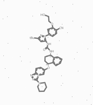 CC(C)(C)c1cc(NC(=O)N[C@H]2CC[C@@H](Oc3ccc4nnc(N5CCCCC5)n4c3)c3ccccc32)n(-c2ccc(C#N)c(OCCO)c2)n1